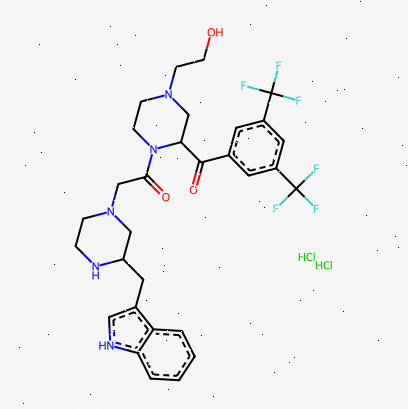 Cl.Cl.O=C(c1cc(C(F)(F)F)cc(C(F)(F)F)c1)C1CN(CCO)CCN1C(=O)CN1CCNC(Cc2c[nH]c3ccccc23)C1